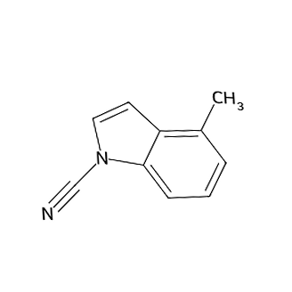 Cc1cccc2c1ccn2C#N